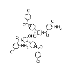 Nc1cc(C(=O)N2CC(O)C(N3CCN(C(=O)c4ccc(Cl)cc4)CC3)C2)ccc1Cl.Nc1cc(Cl)ccc1C(=O)N1CC(O)C(N2CCN(C(=O)c3ccc(Cl)cc3)CC2)C1